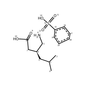 CC(C)C[C@H](CN)CC(=O)O.O=S(=O)(O)c1ccccc1